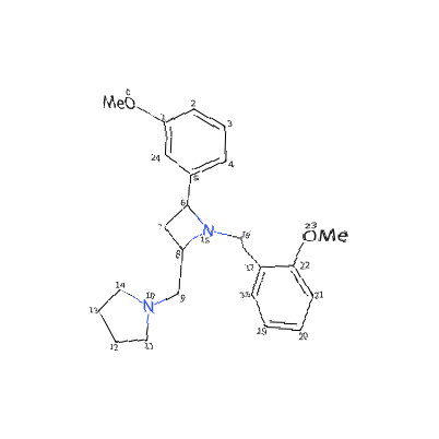 COc1cccc(C2CC(CN3CCCC3)N2Cc2ccccc2OC)c1